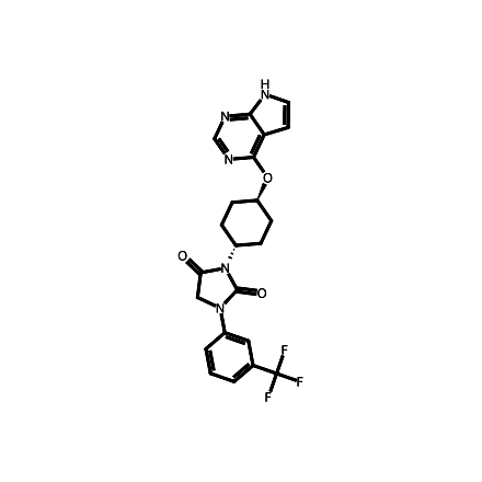 O=C1CN(c2cccc(C(F)(F)F)c2)C(=O)N1[C@H]1CC[C@H](Oc2ncnc3[nH]ccc23)CC1